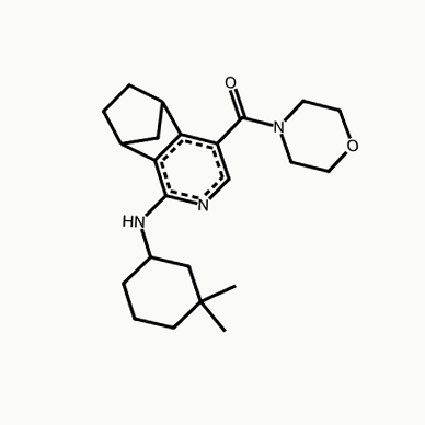 CC1(C)CCCC(Nc2ncc(C(=O)N3CCOCC3)c3c2C2CCC3C2)C1